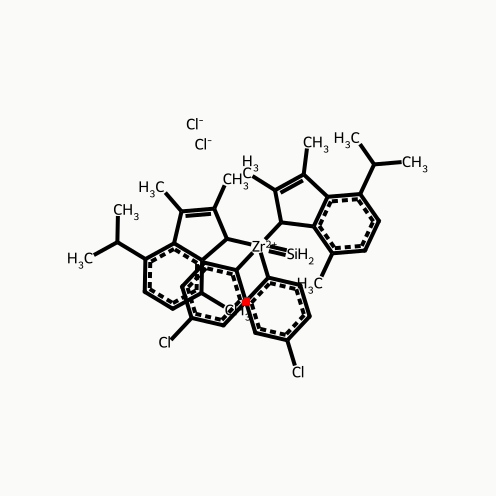 CC1=C(C)[CH]([Zr+2](=[SiH2])([c]2ccc(Cl)cc2)([c]2ccc(Cl)cc2)[CH]2C(C)=C(C)c3c(C(C)C)ccc(C)c32)c2c(C)ccc(C(C)C)c21.[Cl-].[Cl-]